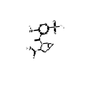 CCNc1ccc(S(C)(=O)=O)cc1C(=O)N1C(C(N)=O)CC2CC21